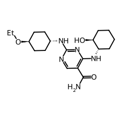 CCO[C@H]1CC[C@H](Nc2ncc(C(N)=O)c(N[C@H]3CCCC[C@@H]3O)n2)CC1